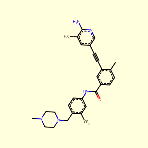 Cc1ccc(C(=O)Nc2ccc(CN3CCN(C)CC3)c(C(F)(F)F)c2)cc1C#Cc1cnc(N)c(C(F)(F)F)c1